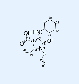 C=CCN1C(=O)C(NC2CCCCC2)=C(C(=O)O)C1CC